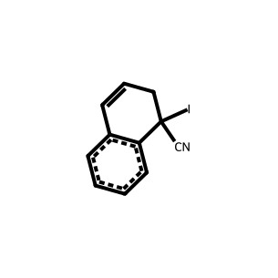 N#CC1(I)CC=Cc2ccccc21